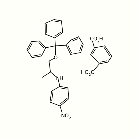 CC(COC(c1ccccc1)(c1ccccc1)c1ccccc1)Nc1ccc([N+](=O)[O-])cc1.O=C(O)c1cccc(C(=O)O)c1